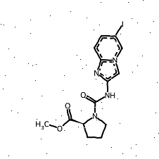 COC(=O)[C@@H]1CCCN1C(=O)Nc1cn2cc(I)ccc2n1